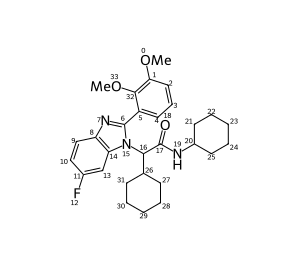 COc1cccc(-c2nc3ccc(F)cc3n2C(C(=O)NC2CCCCC2)C2CCCCC2)c1OC